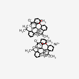 CC(C)c1cccc(C(C)C)c1N=C(Nc1c(C(C)C)cccc1C(C)C)c1ccccc1C(=O)[O-].CC(C)c1cccc(C(C)C)c1N=C(Nc1c(C(C)C)cccc1C(C)C)c1ccccc1C(=O)[O-].[Ni+2]